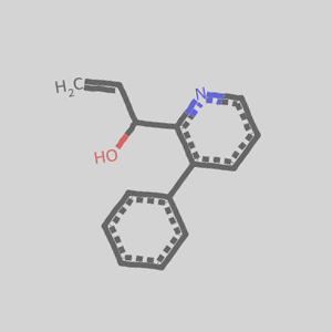 C=CC(O)c1ncccc1-c1ccccc1